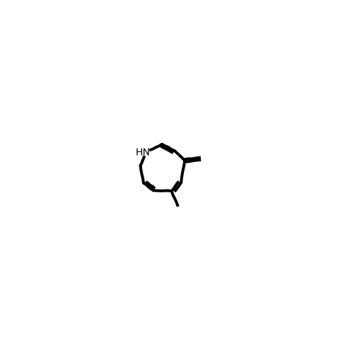 C=C1/C=C\NC/C=C\C(C)=C/1